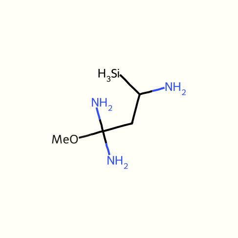 COC(N)(N)CC(N)[SiH3]